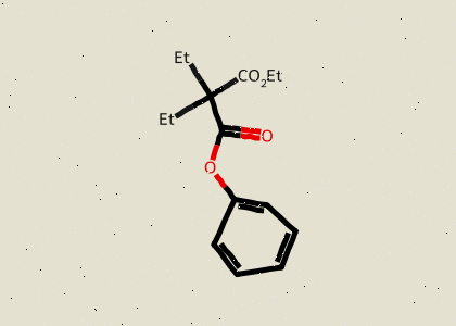 CCOC(=O)C(CC)(CC)C(=O)Oc1ccccc1